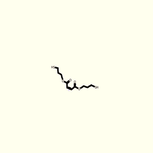 O=C(/C=C\C(=O)OCCCS)OCCCS